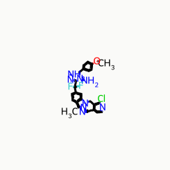 COc1ccc(CN(N)/C(=N\N)C(F)(F)c2ccc3c(C)nn(Cc4c(C#N)ccnc4Cl)c3c2)cc1